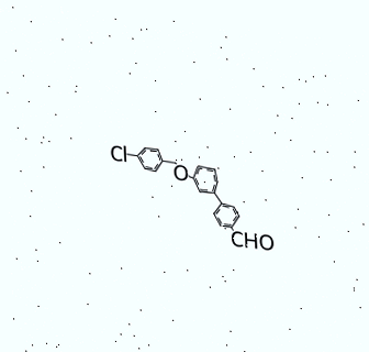 O=Cc1ccc(-c2cccc(OCc3ccc(Cl)cc3)c2)cc1